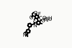 Cc1cc2nc(-c3cccc(-c4ccc5c(cnn5C)c4)c3)sc2c(-c2cc(F)c3c(c2C)C(=O)CCO3)c1C(OC(C)(C)C)C(=O)O